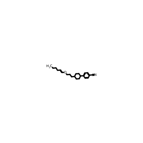 CCCC/C=C/OCCCC1CCC(c2ccc(C#N)cc2)CC1